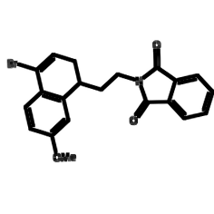 COc1ccc2c(c1)C(CCN1C(=O)c3ccccc3C1=O)CC=C2Br